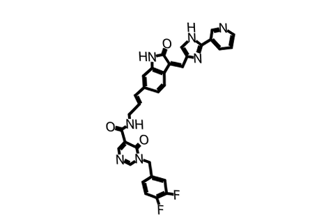 O=C1Nc2cc(/C=C/CNC(=O)c3cncn(Cc4ccc(F)c(F)c4)c3=O)ccc2C1=Cc1c[nH]c(-c2cccnc2)n1